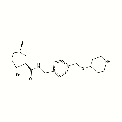 CC(C)[C@@H]1CC[C@@H](C)C[C@H]1C(=O)NCc1ccc(COC2CCNCC2)cc1